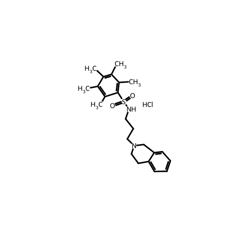 Cc1c(C)c(C)c(S(=O)(=O)NCCCN2CCc3ccccc3C2)c(C)c1C.Cl